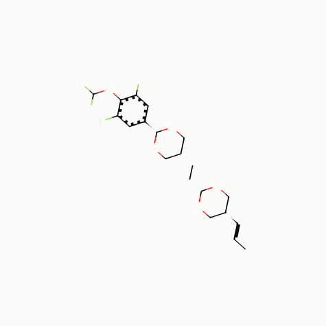 CC=C[C@H]1CO[C@H](CC[C@H]2CO[C@H](c3cc(F)c(OC(F)F)c(F)c3)OC2)OC1